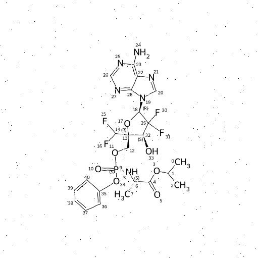 CC(C)OC(=O)[C@H](C)N[P@](=O)(OC[C@@]1(C(F)F)O[C@@H](n2cnc3c(N)ncnc32)C(F)(F)[C@H]1O)Oc1ccccc1